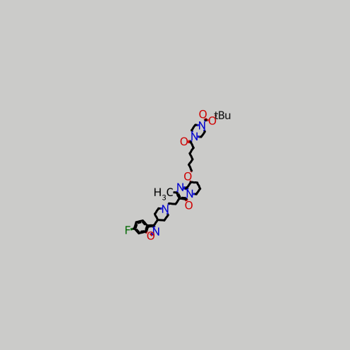 Cc1nc2n(c(=O)c1CCN1CCC(c3noc4cc(F)ccc34)CC1)CCC[C@@H]2OCCCCCC(=O)N1CCN(C(=O)OC(C)(C)C)CC1